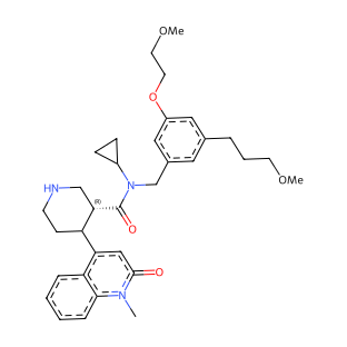 COCCCc1cc(CN(C(=O)[C@H]2CNCCC2c2cc(=O)n(C)c3ccccc23)C2CC2)cc(OCCOC)c1